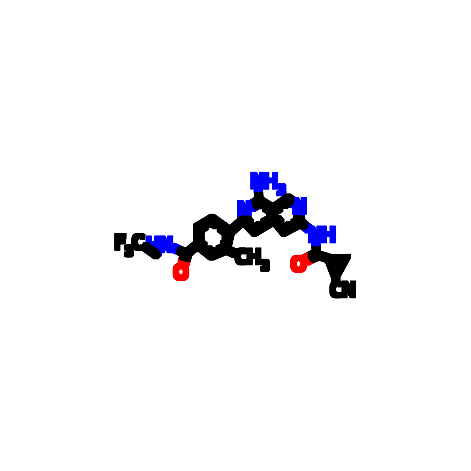 Cc1cc(C(=O)NCC(F)(F)F)ccc1-c1cc2cc(NC(=O)C3CC3C#N)ncc2c(N)n1